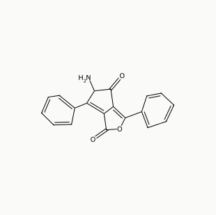 NC1C(=O)C2=C(c3ccccc3)OC(=O)C2=C1c1ccccc1